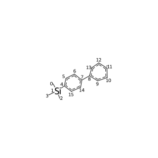 C[Si](C)(C)c1ccc(-c2cc[c]cc2)cc1